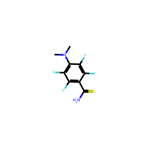 CN(C)c1c(F)c(F)c(C(N)=S)c(F)c1F